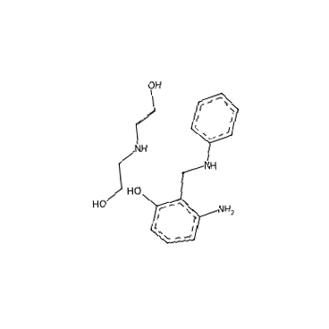 Nc1cccc(O)c1CNc1ccccc1.OCCNCCO